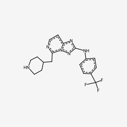 FC(F)(F)c1ccc(Nc2nc3ccnc(CC4CCNCC4)n3n2)cc1